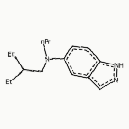 CCCN(CC(CC)CC)c1ccc2[nH]ncc2c1